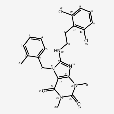 Cc1ccccc1Cn1c(NCCc2c(Cl)cccc2Cl)nc2c1c(=O)n(C)c(=O)n2C